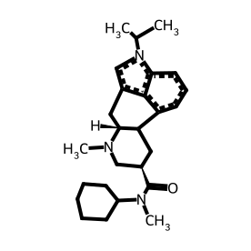 CC(C)n1cc2c3c(cccc31)C1C[C@@H](C(=O)N(C)C3CCCCC3)CN(C)[C@@H]1C2